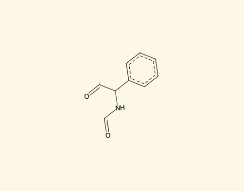 O=[C]C(NC=O)c1ccccc1